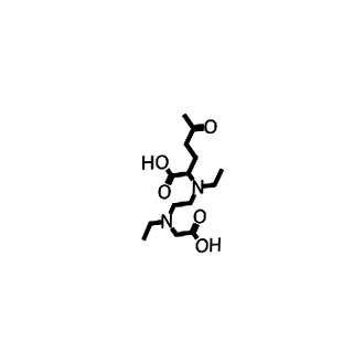 CCN(CCN(CC)C(CCC(C)=O)C(=O)O)CC(=O)O